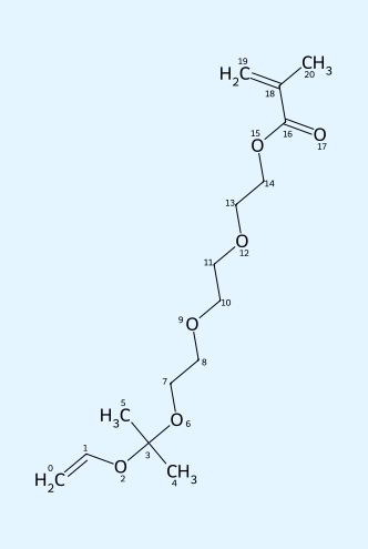 C=COC(C)(C)OCCOCCOCCOC(=O)C(=C)C